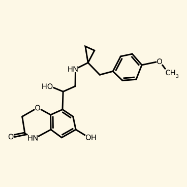 COc1ccc(CC2(NCC(O)c3cc(O)cc4c3OCC(=O)N4)CC2)cc1